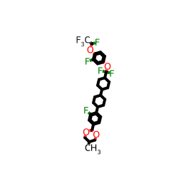 CC1COC(c2ccc(C3CCC(C4CCC(C(F)(F)Oc5ccc(OC(F)C(F)(F)F)c(F)c5)CC4)CC3)c(F)c2)OC1